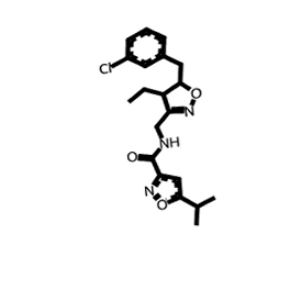 CCC1C(CNC(=O)c2cc(C(C)C)on2)=NOC1Cc1cccc(Cl)c1